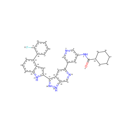 O=C(Nc1cncc(-c2cc3c(-c4cc5c(-c6ccccc6F)cccc5[nH]4)n[nH]c3cn2)c1)C1CCCCC1